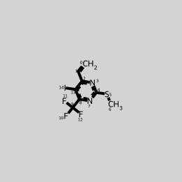 C=Cc1nc(SC)nc(C(F)(F)F)c1I